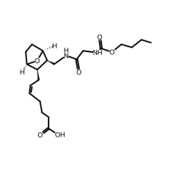 CCCCOC(=O)NCC(=O)NC[C@H]1[C@@H](C/C=C\CCCC(=O)O)[C@H]2CC[C@@H]1O2